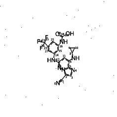 N#Cc1cnc2c(NC3CC3)cc(Nc3cc(NC(=O)O)cc(C(F)(F)F)c3)nn12